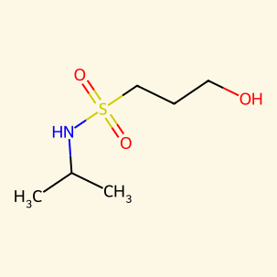 CC(C)NS(=O)(=O)CCCO